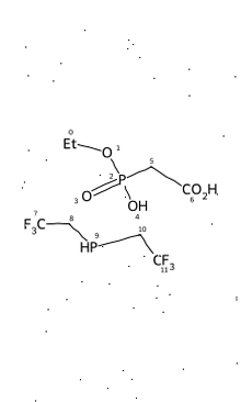 CCOP(=O)(O)CC(=O)O.FC(F)(F)CPCC(F)(F)F